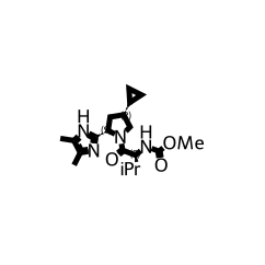 COC(=O)N[C@H](C(=O)N1C[C@@H](C2CC2)C[C@H]1c1nc(C)c(C)[nH]1)C(C)C